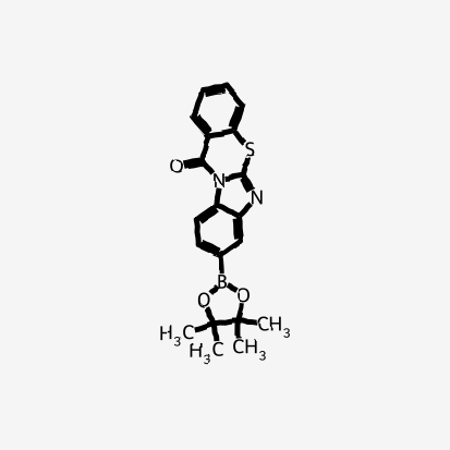 CC1(C)OB(c2ccc3c(c2)nc2sc4ccccc4c(=O)n23)OC1(C)C